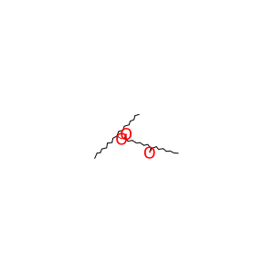 CCCCCCCCC(CCCCCCCC)OC(=O)CCCCCCC(=O)CCCCCCC